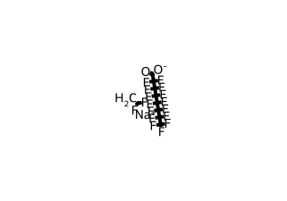 C=C(F)F.O=C([O-])C(F)(F)C(F)(F)C(F)(F)C(F)(F)C(F)(F)C(F)(F)C(F)(F)F.[Na+]